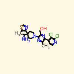 Cc1nc(N2CCC(c3cscn3)(C(C)N)CC2)c(CO)nc1-c1ccnc(Cl)c1Cl